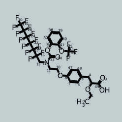 CCOC(Cc1ccc(OCCN(CC(F)(F)C(F)(F)C(F)(F)C(F)(F)C(F)(F)C(F)(F)F)C(=O)Oc2ccccc2OC(F)(F)F)cc1)C(=O)O